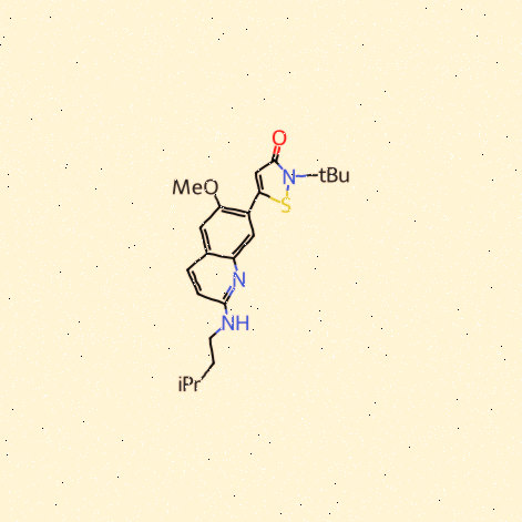 COc1cc2ccc(NCCC(C)C)nc2cc1-c1cc(=O)n(C(C)(C)C)s1